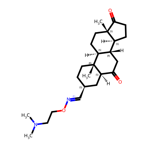 CN(C)CCO/N=C/[C@H]1CC[C@@]2(C)[C@H](C1)C(=O)C[C@@H]1[C@@H]2CC[C@]2(C)C(=O)CC[C@@H]12